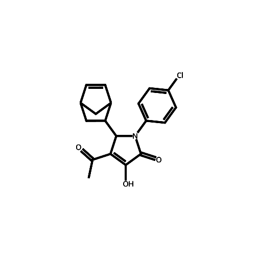 CC(=O)C1=C(O)C(=O)N(c2ccc(Cl)cc2)C1C1CC2C=CC1C2